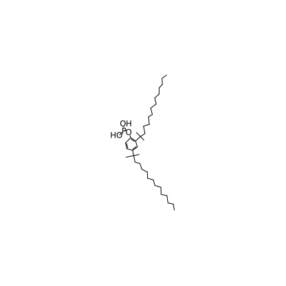 CCCCCCCCCCCCCC(C)(C)c1ccc(OP(O)O)c(C(C)(C)CCCCCCCCCCCCC)c1